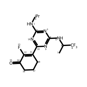 CC(C)Nc1nc(NC(C)C(F)(F)F)nc(C2=C(F)C(=O)CCC2)n1